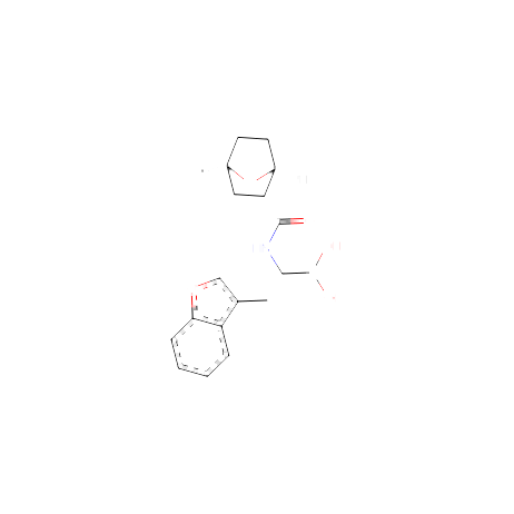 O=C(N[C@@H](Cc1coc2ccccc12)B(O)O)[C@@H]1C[C@H]2CC[C@@H]1O2